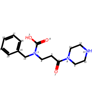 O=C(O)N(CCC(=O)N1CCNCC1)Cc1ccccc1